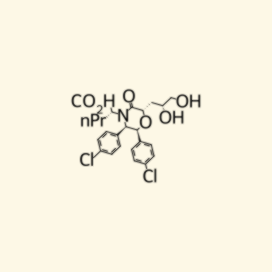 CCC[C@H](C(=O)O)N1C(=O)[C@H](C[C@@H](O)CO)O[C@@H](c2ccc(Cl)cc2)[C@H]1c1ccc(Cl)cc1